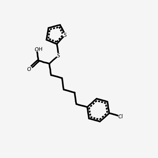 O=C(O)C(CCCCCc1ccc(Cl)cc1)Sc1cccs1